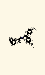 O=C(/C=C/C=C(c1ccc(C(F)(F)F)cc1)c1ccc(C(F)(F)F)cc1)Nc1cccc2[nH]ncc12